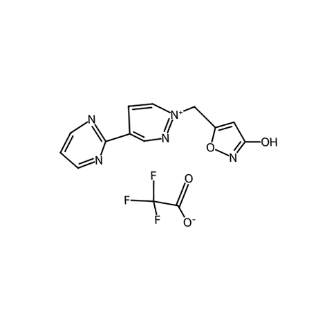 O=C([O-])C(F)(F)F.Oc1cc(C[n+]2ccc(-c3ncccn3)cn2)on1